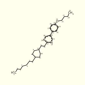 CCCCCCCC1CCC(CCc2ncc(-c3ccc(OCCCC)cc3)cn2)CC1